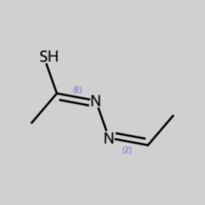 C/C=N\N=C(/C)S